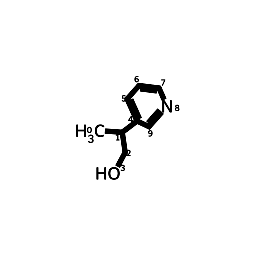 CC(CO)c1cccnc1